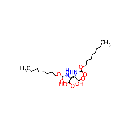 CCCCCCCCOC(=O)NC(C(=O)O)=C(NC(=O)OCCCCCCCC)C(=O)O